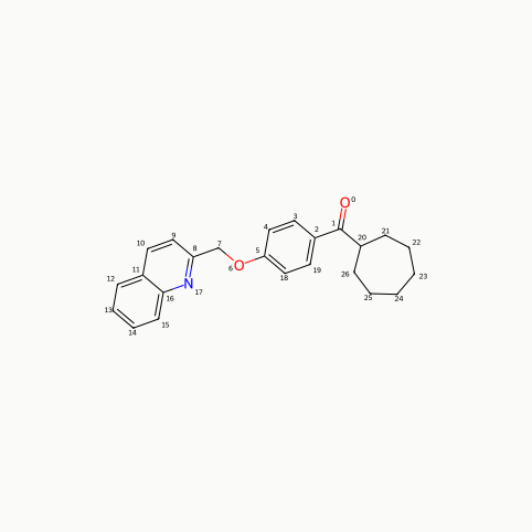 O=C(c1ccc(OCc2ccc3ccccc3n2)cc1)C1CCCCCC1